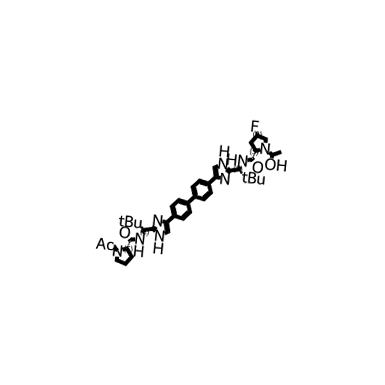 CC(=O)N1CCC[C@H]1C(=O)N[C@H](c1nc(-c2ccc(-c3ccc(-c4c[nH]c([C@@H](NC(=O)[C@@H]5C[C@@H](F)CN5C(C)O)C(C)(C)C)n4)cc3)cc2)c[nH]1)C(C)(C)C